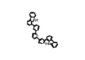 c1cc(-c2cccc(-c3cccc(-c4cccc5c4[nH]c4ccccc45)c3)n2)cc(-c2cccc3c2[nH]c2ccccc23)c1